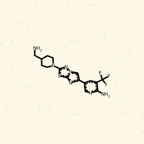 NCC1CCN(c2nn3cc(-c4cnc(N)c(C(F)(F)F)c4)nc3s2)CC1